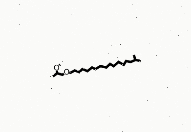 [CH2]C(COCCCCCCCCCCCCCCCC(C)C)OC